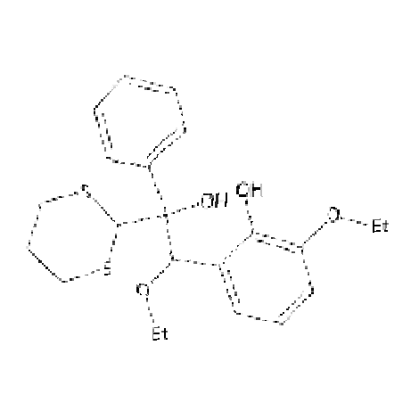 CCOc1cccc(C(OCC)C(O)(c2ccccc2)C2SCCCS2)c1O